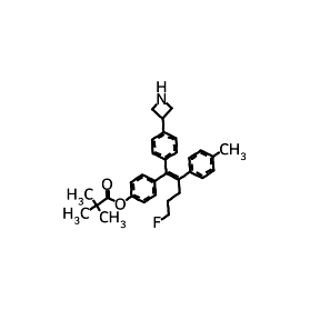 Cc1ccc(/C(CCCF)=C(/c2ccc(OC(=O)C(C)(C)C)cc2)c2ccc(C3CNC3)cc2)cc1